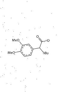 CCCCC(C([O])=O)c1ccc(OC)c(OC)c1